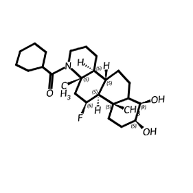 C[C@]12CC[C@H](O)[C@H](O)C1CC[C@@H]1[C@@H]2[C@@H](F)C[C@@]2(C)[C@H]1CCCN2C(=O)C1CCCCC1